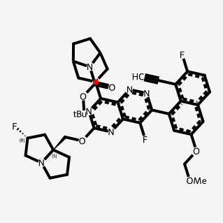 C#Cc1c(F)ccc2cc(OCOC)cc(-c3nnc4c(N5CC6CCC(C5)N6C(=O)OC(C)(C)C)nc(OC[C@@]56CCCN5C[C@H](F)C6)nc4c3F)c12